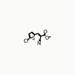 COC(=O)/C(C#N)=C/c1ccc(Cl)s1